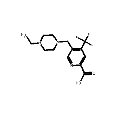 CCN1CCN(Cc2cnc(C(=O)O)cc2C(F)(F)F)CC1